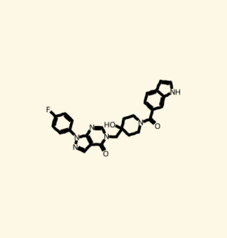 O=C(c1ccc2cc[nH]c2c1)N1CCC(O)(Cn2cnc3c(cnn3-c3ccc(F)cc3)c2=O)CC1